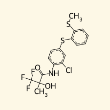 CSc1ccccc1Sc1ccc(NC(=O)C(C)(O)C(F)(F)F)c(Cl)c1